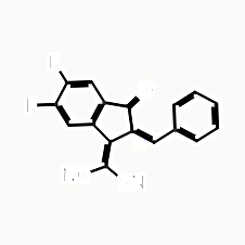 N#CC(C#N)=C1/C(=C/c2ccccc2)C(=O)c2cc(F)c(F)cc21